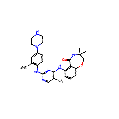 COc1cc(N2CCNCC2)ccc1Nc1ncc(C(F)(F)F)c(Nc2cccc3c2C(=O)NC(C)(C)CO3)n1